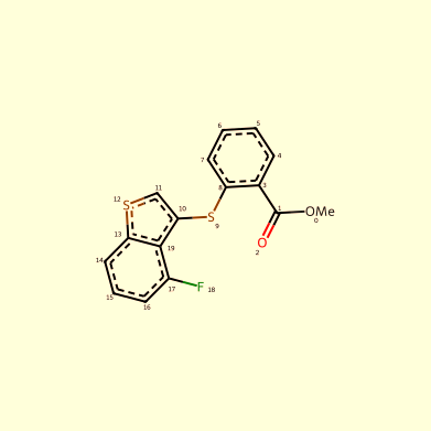 COC(=O)c1ccccc1Sc1csc2cccc(F)c12